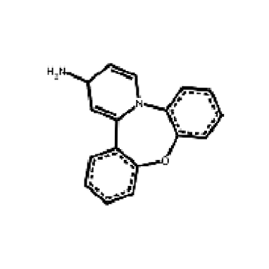 NC1C=CN2C(=C1)c1ccccc1Oc1ccccc12